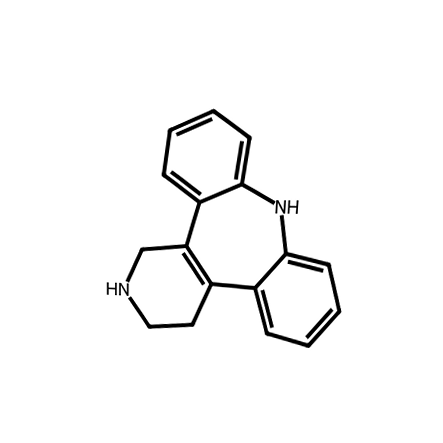 c1ccc2c(c1)Nc1ccccc1C1=C2CCNC1